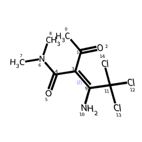 CC(=O)/C(C(=O)N(C)C)=C(/N)C(Cl)(Cl)Cl